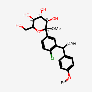 CCOc1ccc(C(OC)c2cc([C@]3(OC)OC(CO)[C@@H](O)[C@H](O)[C@H]3O)ccc2Cl)cc1